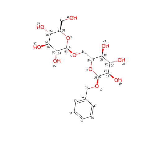 OC[C@H]1O[C@@H](OC[C@H]2O[C@H](OCc3ccccc3)[C@H](O)[C@@H](O)[C@@H]2O)[C@H](O)[C@@H](O)[C@@H]1O